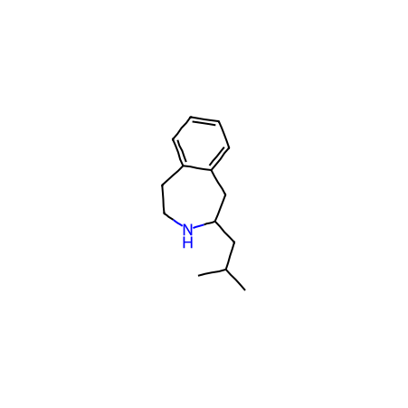 CC(C)CC1Cc2ccccc2CCN1